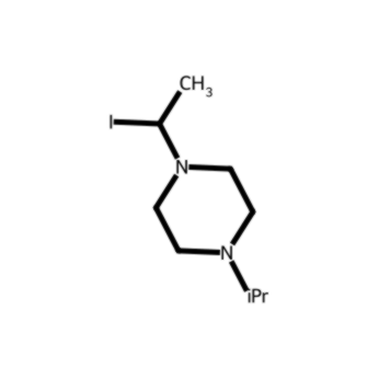 CC(C)N1CCN(C(C)I)CC1